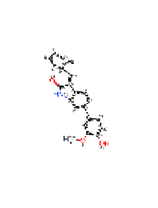 COc1cc(-c2ccc3c(c2)NC(=O)C3=Cc2ccc[se]2)ccc1O